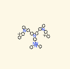 CC1(C)c2ccccc2-c2ccc(-n3c4ccccc4c4ccc(-c5ccc6c(c5)c5cc(-c7ccc8c9ccccc9n(-c9ccc%10c(c9)C(C)(C)c9ccccc9-%10)c8c7)ccc5n6-c5ccc(-c6nc(-c7ccccc7)nc(-c7ccccc7)n6)cc5)cc43)cc21